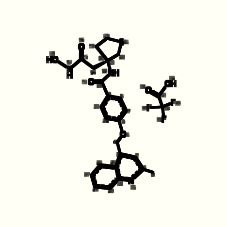 Cc1cc(COc2ccc(C(=O)N[C@]3(CC(=O)NO)CCSC3)cc2)c2ccccc2n1.O=C(O)C(F)(F)F